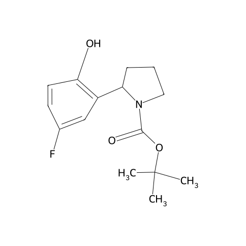 CC(C)(C)OC(=O)N1CCCC1c1cc(F)ccc1O